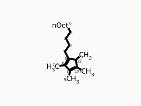 CCCCCCCCCCCCC1=C(C)C(C)=C(C)C1C